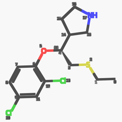 CCSC[C@H](Oc1ccc(Cl)cc1Cl)C1CCNC1